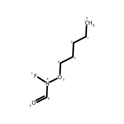 CCCCCON(F)C=O